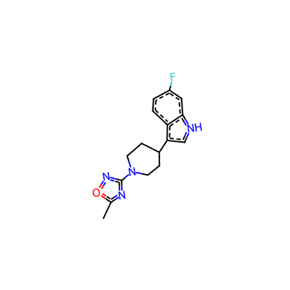 Cc1nc(N2CCC(c3c[nH]c4cc(F)ccc34)CC2)no1